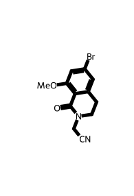 COc1cc(Br)cc2c1C(=O)N(CC#N)CC2